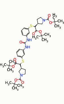 CC(C)(C)OC(=O)C(Sc1cccc(NC(=O)Nc2cccc(SC(C(=O)OC(C)(C)C)[C@H]3CCN(C(=O)OC(C)(C)C)C3)c2)c1)[C@H]1CCN(C(=O)OC(C)(C)C)C1